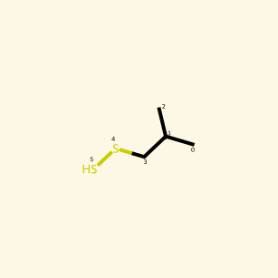 C[C](C)CSS